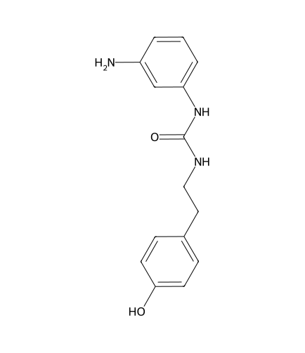 Nc1cccc(NC(=O)NCCc2ccc(O)cc2)c1